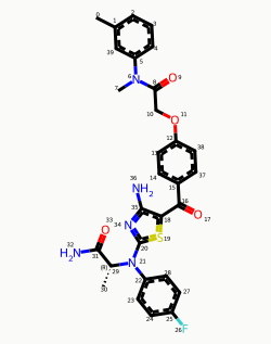 Cc1cccc(N(C)C(=O)COc2ccc(C(=O)c3sc(N(c4ccc(F)cc4)[C@H](C)C(N)=O)nc3N)cc2)c1